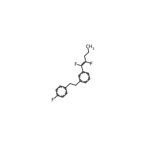 CCC/C(F)=C(\F)c1cccc(CCc2ccc(F)cc2)c1